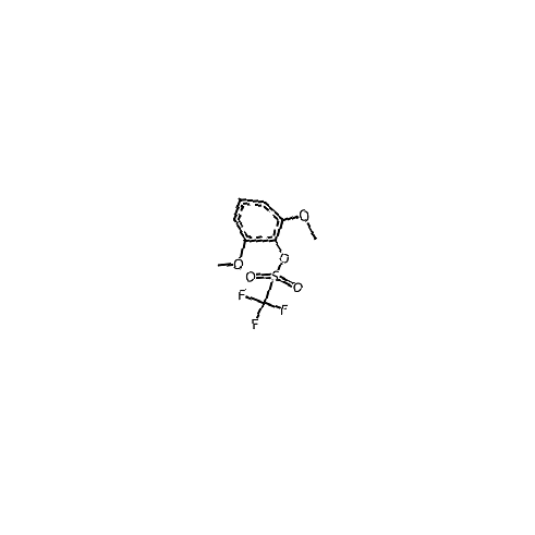 COc1cccc(OC)c1OS(=O)(=O)C(F)(F)F